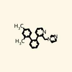 Cc1ccc(-c2ccccc2-c2cccnc2Cn2ccnc2)c(C)c1